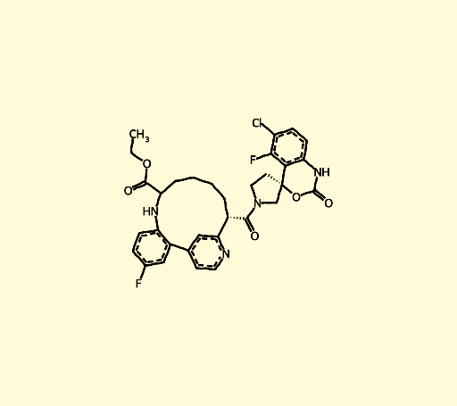 CCOC(=O)C1CCCC[C@H](C(=O)N2CC[C@@]3(C2)OC(=O)Nc2ccc(Cl)c(F)c23)c2cc(ccn2)-c2cc(F)ccc2N1